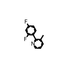 Cc1cccnc1-c1ccc(F)cc1F